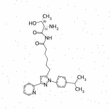 CC(C)c1ccc(-n2nc(-c3ccccn3)cc2CCCCCC(=O)NC(=O)[C@@H](N)[C@@H](C)O)cc1